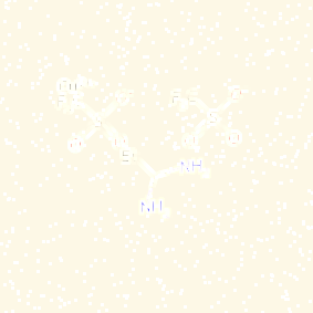 CCC(N)N.O=S(=O)([O-])C(F)(F)F.O=S(=O)([O-])C(F)(F)F.[Cu+2]